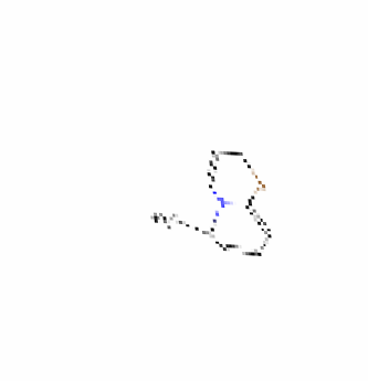 O=C(O)C1C=CC=C2SCC=CN21